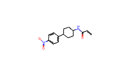 C=CC(=O)NC1CCC(c2ccc([N+](=O)[O-])cc2)CC1